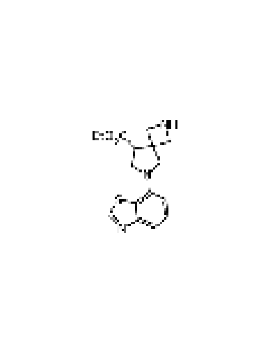 CCOC(=O)C1CN(c2cccc3ncsc23)CC12CNC2